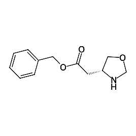 O=C(C[C@@H]1COCN1)OCc1ccccc1